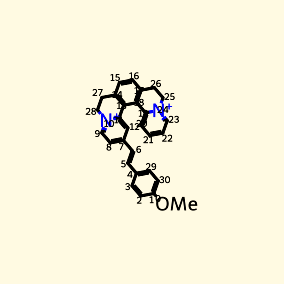 COc1ccc(/C=C/c2cc[n+]3c(c2)-c2c(ccc4c2-c2cccc[n+]2CC4)CC3)cc1